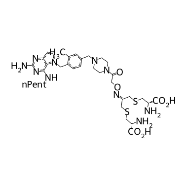 CCCCCNc1nc(N)nc2ccn(Cc3ccc(CN4CCN(C(=O)CON=C(CSC[C@H](N)C(=O)O)CSC[C@H](N)C(=O)O)CC4)cc3C)c12